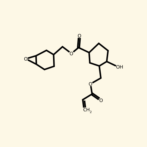 C=CC(=O)OCC1CC(C(=O)OCC2CCC3OC3C2)CCC1O